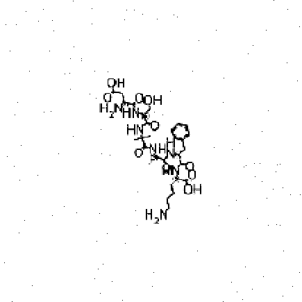 C[C@H](NC(=O)C(C)(C)NC(=O)[C@H](CO)NC(=O)[C@@H](N)CC(=O)O)C(=O)N[C@@H](Cc1ccccc1)C(=O)N[C@@H](CCCCN)C(=O)O